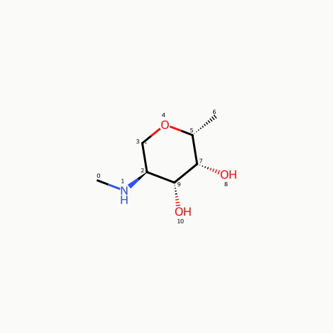 CN[C@H]1[CH]O[C@H](C)[C@H](O)[C@@H]1O